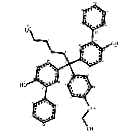 CCCCCC(c1ccc(OCC)cc1)(c1ccc(O)c(-c2ccccc2)c1)c1ccc(O)c(-c2ccccc2)c1